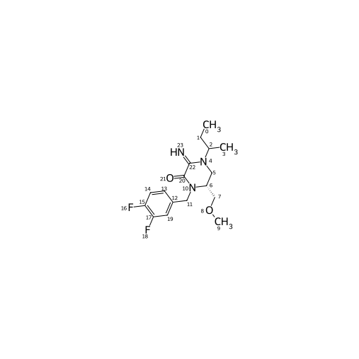 CCC(C)N1C[C@H](COC)N(Cc2ccc(F)c(F)c2)C(=O)C1=N